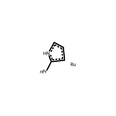 CCCc1ccc[nH]1.[Ru]